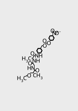 CCOCC(C)C(=O)NCC(=O)N[C@@H](C)C(=O)Nc1ccc(COC(=O)Oc2ccc([N+](=O)[O-])cc2)cc1